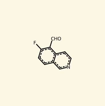 O=Cc1c(F)ccc2cnccc12